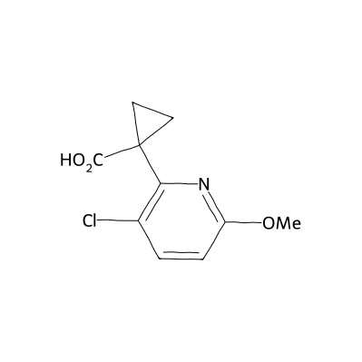 COc1ccc(Cl)c(C2(C(=O)O)CC2)n1